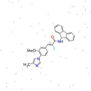 COc1cc(/C=C(\F)C(=O)NC2c3ccccc3-c3ccccc32)ccc1-n1cnc(C)c1